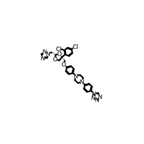 Clc1ccc([C@@]2(COc3ccc(N4CCN(c5ccc(-n6cnnn6)cc5)CC4)cc3)CO[C@H](Cn3cncn3)O2)c(Cl)c1